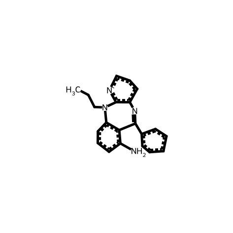 CCCN1c2cccc(N)c2C(c2ccccc2)=Nc2cccnc21